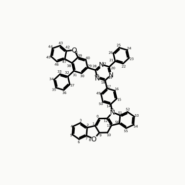 C1=C2c3ccccc3OC2Cc2c1n(-c1ccc(-c3nc(-c4ccccc4)nc(-c4cc(-c5ccccc5)c5c(c4)oc4ccccc45)n3)cc1)c1ccccc21